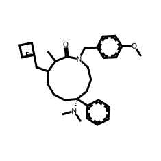 COc1ccc(CN2CCC[C@](c3ccccc3)(N(C)C)CCCC(CC3(F)CCC3)C(C)C2=O)cc1